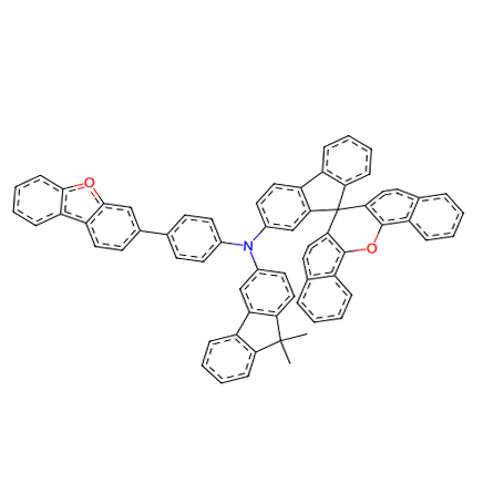 CC1(C)c2ccccc2-c2cc(N(c3ccc(-c4ccc5c(c4)oc4ccccc45)cc3)c3ccc4c(c3)C3(c5ccccc5-4)c4ccc5ccccc5c4Oc4c3ccc3ccccc43)ccc21